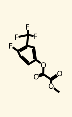 COC(=O)C(=O)Oc1ccc(F)c(C(F)(F)F)c1